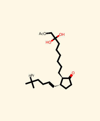 CCCC(C)(C)CC/C=C/[C@H]1CCC(=O)[C@@H]1CCCCCCC(O)(O)COC(C)=O